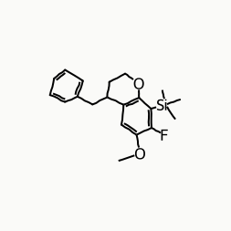 COc1cc2c(c([Si](C)(C)C)c1F)OCCC2Cc1ccccc1